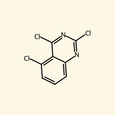 Clc1nc(Cl)c2c(Cl)cccc2n1